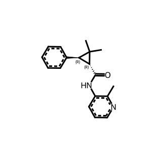 Cc1ncccc1NC(=O)[C@@H]1[C@@H](c2ccccc2)C1(C)C